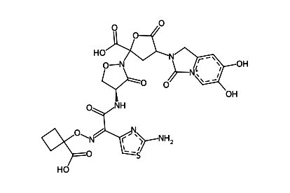 Nc1nc(/C(=N/OC2(C(=O)O)CCC2)C(=O)N[C@H]2CON(C3(C(=O)O)CC(N4Cc5cc(O)c(O)c[n+]5C4=O)C(=O)O3)C2=O)cs1